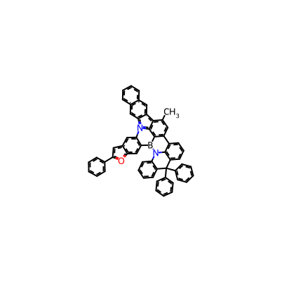 Cc1cc2c3c4c1c1cc5ccccc5cc1n4-c1cc4cc(-c5ccccc5)oc4cc1B3N1c3ccccc3C(c3ccccc3)(c3ccccc3)c3cccc-2c31